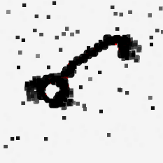 CO[C@H]1CC2CCC[C@@](O)(O2)C(=O)C(=O)N2CCCC[C@H]2C(=O)O[C@H](CC[C@H]2CC[C@H](OC(=O)N3CCN(CCOCCOCCOCCOCCOCCOCCC(=O)N4CCc5cc(Cn6nc(-c7ccc8oc(N)nc8c7)c7c(N)ncnc76)ccc5C4)CC3)CC2)CC[C@H](C)/C=C(\C)[C@@H](O)[C@@H](OC)C(=O)[C@H](C)C[C@H](C)/C=C/C=C/C=C/1C